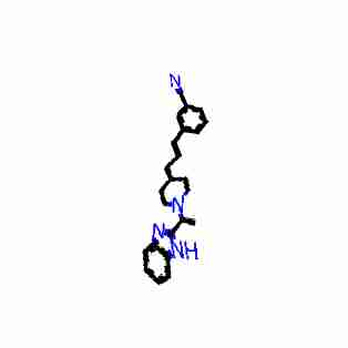 CC(c1nc2ccccc2[nH]1)N1CCC(CCCc2cccc(C#N)c2)CC1